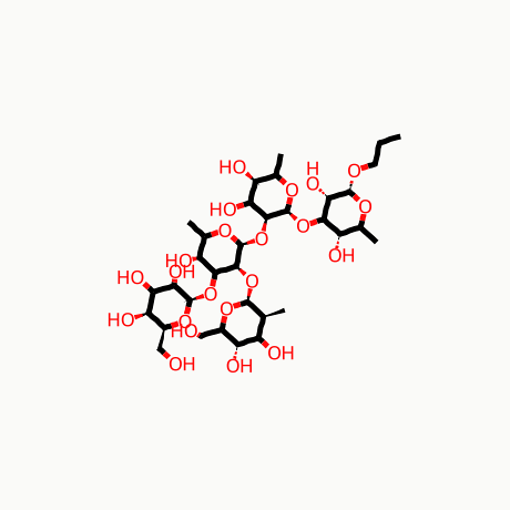 CCCO[C@@H]1OC(C)[C@H](O)C(O[C@@H]2OC(C)[C@H](O)C(O)[C@@H]2O[C@@H]2OC(C)[C@H](O)C(O[C@H]3O[C@@H](CO)[C@@H](O)C(O)C3O)[C@@H]2O[C@@H]2OC(CO)[C@@H](O)C(O)[C@@H]2C)[C@@H]1O